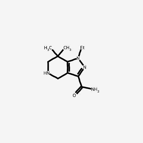 CCn1nc(C(N)=O)c2c1C(C)(C)CNC2